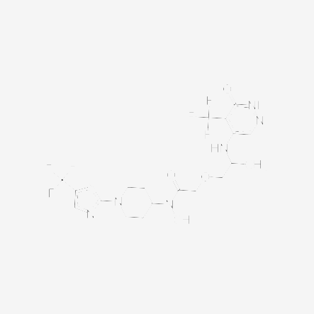 CC(COCC(=O)N(C)C1CCN(c2ncc(C(F)(F)F)s2)CC1)Nc1cn[nH]c(=O)c1C(F)(F)F